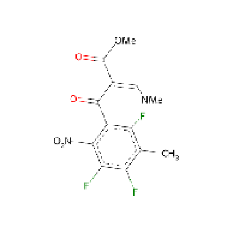 CN/C=C(/C(=O)OC)C(=O)c1c(F)c(C)c(F)c(F)c1[N+](=O)[O-]